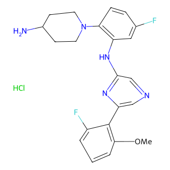 COc1cccc(F)c1-c1cncc(Nc2cc(F)ccc2N2CCC(N)CC2)n1.Cl